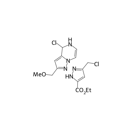 CCOC(=O)c1cc(CCl)n[nH]1.COCc1cc2n(n1)C=CNC2Cl